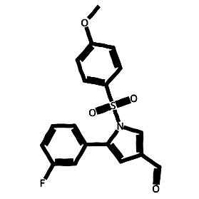 COc1ccc(S(=O)(=O)n2cc(C=O)cc2-c2cccc(F)c2)cc1